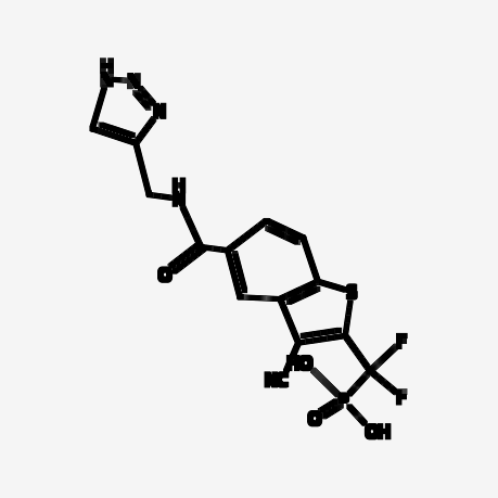 N#Cc1c(C(F)(F)P(=O)(O)O)sc2ccc(C(=O)NCc3c[nH]nn3)cc12